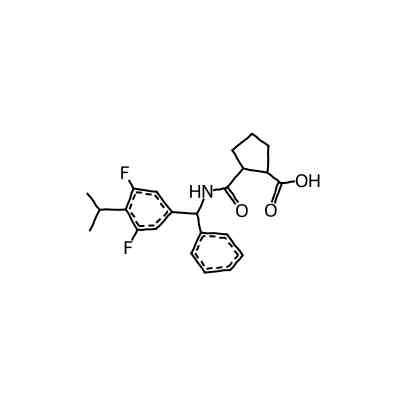 CC(C)c1c(F)cc(C(NC(=O)C2CCCC2C(=O)O)c2ccccc2)cc1F